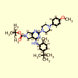 COc1ccc(N2CCN(c3nc4c(c(Nc5cc(C(C)(C)C)ccc5C)n3)CN(C(=O)OC(C)(C)C)C4)CC2)cc1